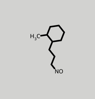 CC1CCCCC1CCCN=O